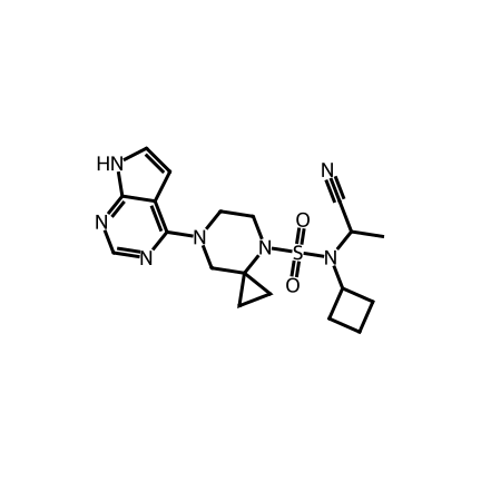 CC(C#N)N(C1CCC1)S(=O)(=O)N1CCN(c2ncnc3[nH]ccc23)CC12CC2